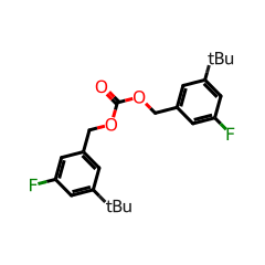 CC(C)(C)c1cc(F)cc(COC(=O)OCc2cc(F)cc(C(C)(C)C)c2)c1